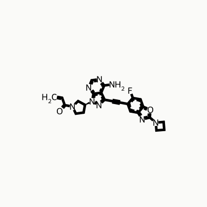 C=CC(=O)N1CC[C@H](n2nc(C#Cc3cc4nc(N5CCC5)oc4cc3F)c3c(N)ncnc32)C1